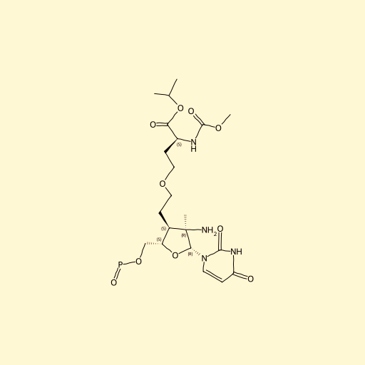 COC(=O)N[C@@H](CCOCC[C@@H]1[C@@H](COP=O)O[C@@H](n2ccc(=O)[nH]c2=O)[C@]1(C)N)C(=O)OC(C)C